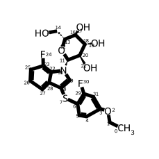 CCOc1ccc(Sc2cn([C@@H]3O[C@H](CO)[C@@H](O)[C@H](O)[C@H]3O)c3c(F)cccc23)c(F)c1